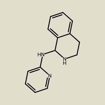 c1ccc(NC2NCCc3ccccc32)nc1